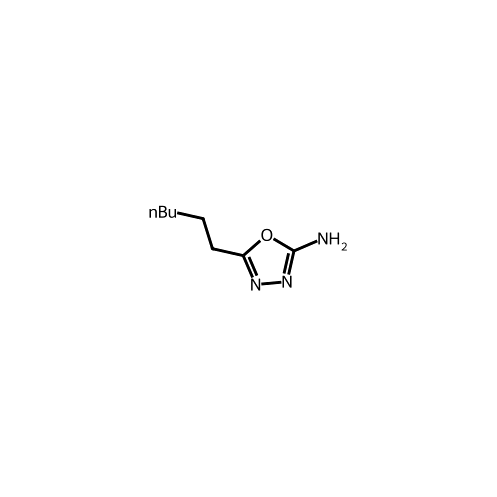 CCCCCCc1nnc(N)o1